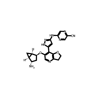 N#Cc1cnc(Nc2cc(-c3c(O[C@H]4C[C@H](N)[C@H]5C[C@H]54)cnc4c3OCC4)[nH]n2)cn1